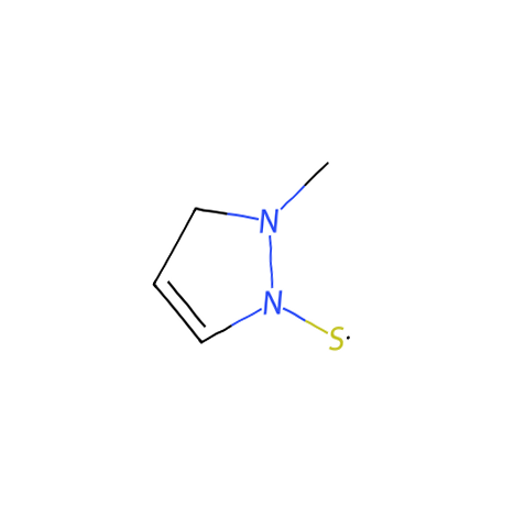 CN1CC=CN1[S]